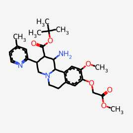 COC(=O)COc1cc2c(cc1OC)C1C(N)C(C(=O)OC(C)(C)C)C(c3cc(C)ccn3)CN1CC2